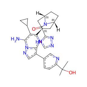 CC(C)(O)c1ccc(-c2cnn3c(N)c(C4CC4)c([C@@H]4C[C@H]5CC[C@@H](C4)N5C(=O)c4nnc[nH]4)nc23)cn1